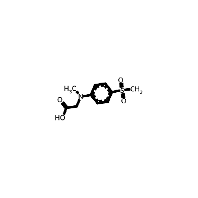 CN(CC(=O)O)c1ccc(S(C)(=O)=O)cc1